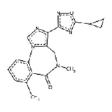 Cc1cccc2c1C(=O)N(C)Cc1c(-c3noc(C4CC4)n3)ncn1-2